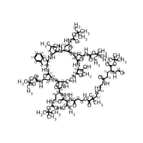 CC(C)C[C@@H]1NC(=O)[C@@H](Cc2ccccc2)NC(=O)[C@H](CCNC(=O)OC(C)(C)C)NC(=O)[C@@H](NC(=O)[C@H](CCNC(=O)OC(C)(C)C)NC(=O)[C@@H](NC(=O)CCOC(=O)C(C)(C)CNCCNC(=O)CC[C@H](NC=O)C(=O)OC(C)(C)C)[C@@H](C)O)CCNC(=O)[C@H]([C@@H](C)O)NC(=O)[C@H](CCNC(=O)OC(C)(C)C)NC(=O)[C@H](CCNC(=O)OC(C)(C)C)NC1=O